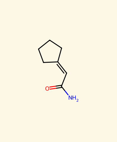 NC(=O)C=C1CCCC1